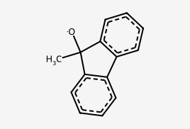 CC1([O])c2ccccc2-c2ccccc21